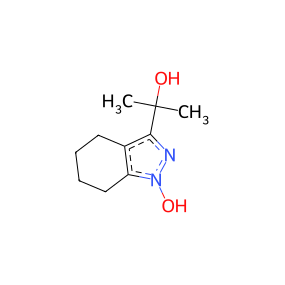 CC(C)(O)c1nn(O)c2c1CCCC2